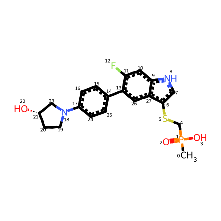 CP(=O)(O)CSc1c[nH]c2cc(F)c(-c3ccc(N4CC[C@H](O)C4)cc3)cc12